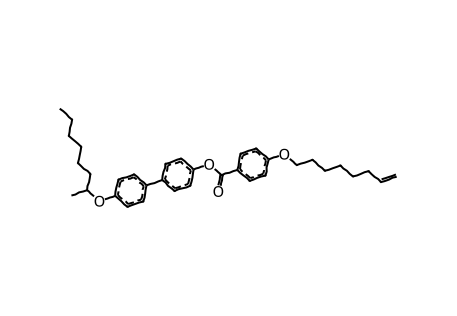 C=CCCCCCCOc1ccc(C(=O)Oc2ccc(-c3ccc(OC(C)CCCCCC)cc3)cc2)cc1